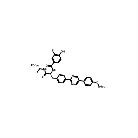 CCCCCCCOc1ccc(-c2cnc(-c3ccc(C[C@H](NC(=O)c4ccc(O)c(F)c4)C(=O)N[C@H](C)C(=O)O)cc3)nc2)cc1